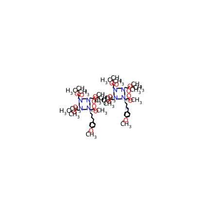 CCOc1ccc(/C=C/CC[C@@H](C(=O)OC)N2CCN(CC(=O)OC(C)(C)C)CCN(CC(=O)OC(C)(C)C)CCN(CC(=O)OC(C)(C)C)CC2)cc1.CCOc1ccc(CCCC[C@@H](C(=O)OC)N2CCN(CC(=O)OC(C)(C)C)CCN(CC(=O)OC(C)(C)C)CCN(CC(=O)OC(C)(C)C)CC2)cc1